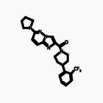 O=C(c1cn2nc(N3CCCC3)ccc2n1)N1CCC(c2ccccc2C(F)(F)F)CC1